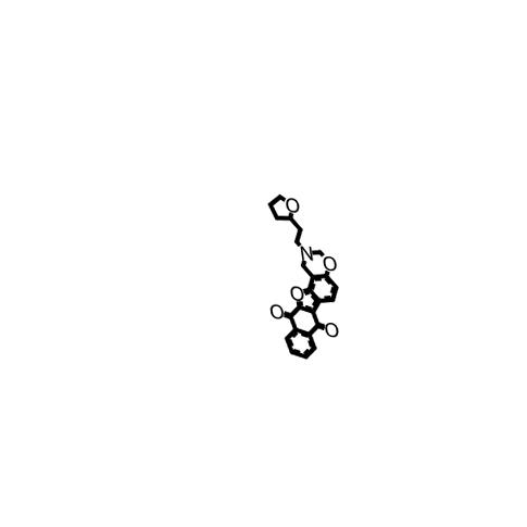 O=C1c2ccccc2C(=O)c2c1oc1c3c(ccc21)OCN(CCC1CCCO1)C3